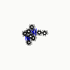 c1ccc(-c2ccc(-c3nc(-c4ccccc4)nc(-c4c(-c5ccccc5)c5c(-c6ccccc6)nn(-c6ccccc6)c5c5ccccc45)n3)cc2)cc1